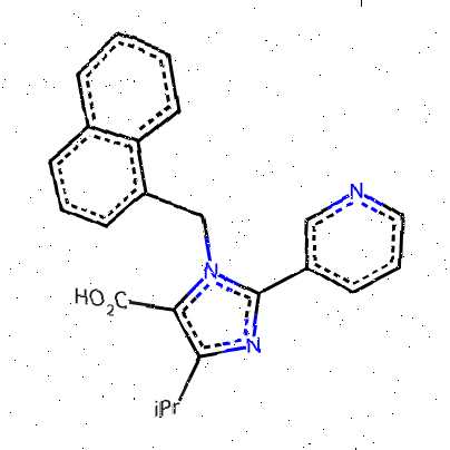 CC(C)c1nc(-c2cccnc2)n(Cc2cccc3ccccc23)c1C(=O)O